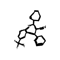 N#Cc1c(C2CCCCC2)nc2ccc(C(F)(F)F)cc2c1-c1ccccc1